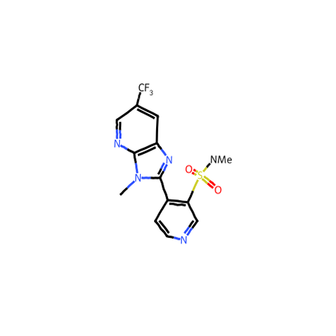 CNS(=O)(=O)c1cnccc1-c1nc2cc(C(F)(F)F)cnc2n1C